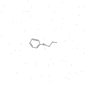 CC[CH2][Ru][c]1ccccc1